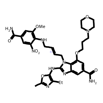 CCc1nc(C)oc1Nc1nc2cc(C(N)=O)cc(OCCCN3CCOCC3)c2n1C/C=C/CNc1c(OC)cc(C(N)=O)cc1[N+](=O)[O-]